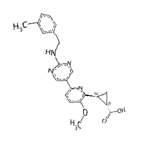 COc1ccc(-c2cnc(NCc3cccc(C)c3)nc2)nc1[C@H]1C[C@@H]1C(=O)O